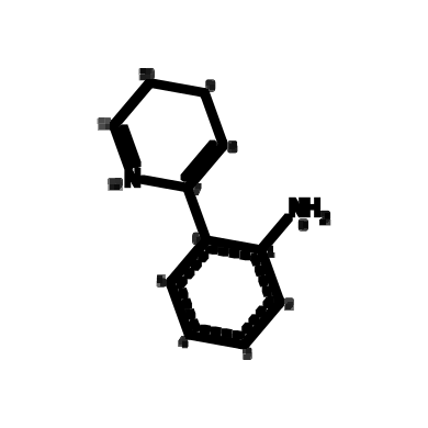 Nc1ccccc1C1=CCCC=N1